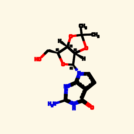 CC1(C)O[C@@H]2[C@H](O1)[C@@H](CO)O[C@H]2n1ccc2c(=O)[nH]c(N)nc21